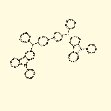 c1ccc(C(c2ccc(-c3ccc(C(c4ccccc4)c4ccc5c(c4)c4ccccc4n5-c4ccccc4)cc3)cc2)c2ccc3c(c2)c2ccccc2n3-c2ccccc2)cc1